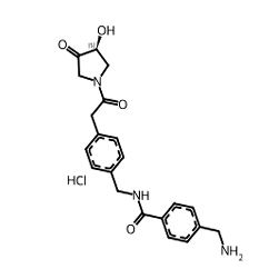 Cl.NCc1ccc(C(=O)NCc2ccc(CC(=O)N3CC(=O)[C@@H](O)C3)cc2)cc1